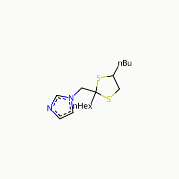 CCCCCCC1(Cn2ccnc2)SCC(CCCC)S1